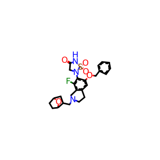 O=C1CN(c2c(OCc3ccccc3)cc3c(c2F)CN(CC2CC4CCC2O4)CC3)S(=O)(=O)N1